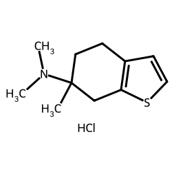 CN(C)C1(C)CCc2ccsc2C1.Cl